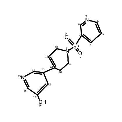 O=S(=O)(c1cccnc1)N1CC=C(c2cncc(O)c2)CC1